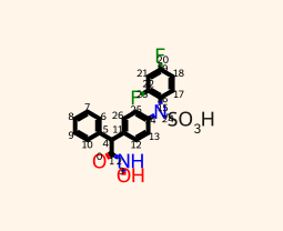 O=C(NO)C(c1ccccc1)c1ccc(N(c2ccc(F)cc2F)S(=O)(=O)O)cc1